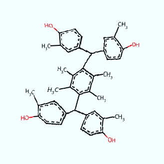 Cc1cc(C(c2ccc(O)c(C)c2)c2c(C)c(C)c(C(c3ccc(O)c(C)c3)c3ccc(O)c(C)c3)c(C)c2C)ccc1O